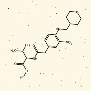 CC(C)OC(=O)C(NC(=O)Cc1ccc(NCC2CCOCC2)c([N+](=O)[O-])c1)C(C)O